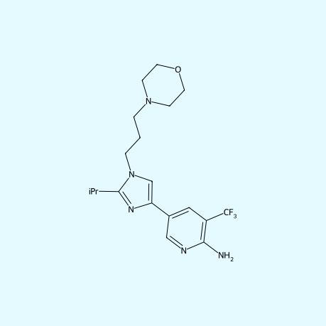 CC(C)c1nc(-c2cnc(N)c(C(F)(F)F)c2)cn1CCCN1CCOCC1